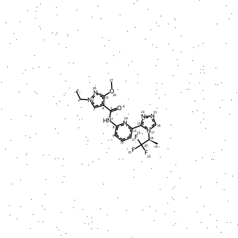 CCn1cc(C(=O)Nc2cccc(-c3nncn3[C@@H](C)C(F)(F)F)n2)c(OC)n1